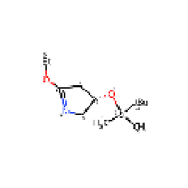 CCOC1=NC[C@@H](O[Si](C)(C)C(C)(C)C)C1